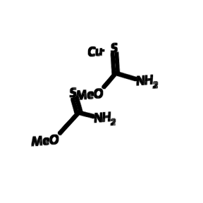 COC(N)=S.COC(N)=S.[Cu]